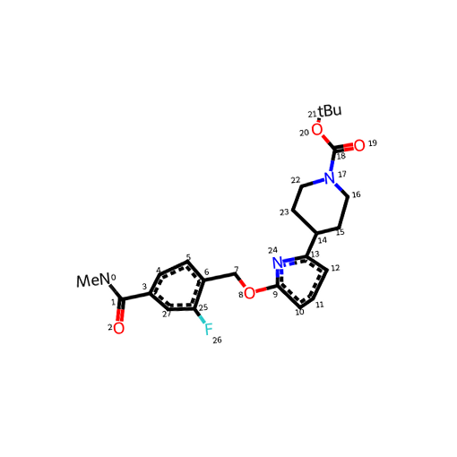 CNC(=O)c1ccc(COc2cccc(C3CCN(C(=O)OC(C)(C)C)CC3)n2)c(F)c1